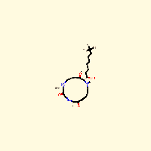 [2H]C([2H])([2H])CCC=CC[C@@H](C)C(O)[C@H]1C(=O)CCCN[C@@H](C(C)C)C(=O)CN[C@@H](C)C(=O)CCCCN1C